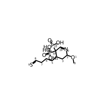 COC1CC(CCCC=S)C(P(=O)(O)O)(P(=O)(O)O)C=N1